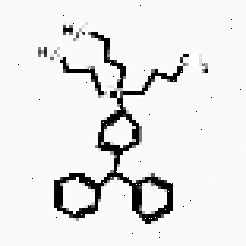 CCC[CH2][Sn]([CH2]CCC)([CH2]CCC)[c]1ccc([C](c2ccccc2)c2ccccc2)cc1